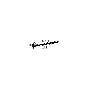 CCCCCCCCCC(O)CCCCS(=O)(=O)O.[NaH]